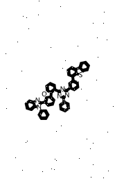 c1ccc(-c2nc(-c3cccc(-c4cccc5c4sc4ccccc45)c3)nc(-c3cccc4oc5c(-c6nc7ccccc7n6-c6ccccc6)cccc5c34)n2)cc1